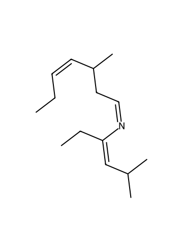 CC/C=C\C(C)C/C=N\C(=C/C(C)C)CC